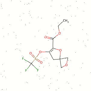 CCOC(=O)C1=C(OS(=O)(=O)C(F)(F)F)CC2(COC2)O1